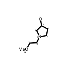 COCCN1CCC([O])C1